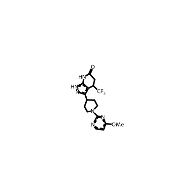 COc1ccnc(N2CCC(c3n[nH]c4c3C(C(F)(F)F)CC(=O)N4)CC2)n1